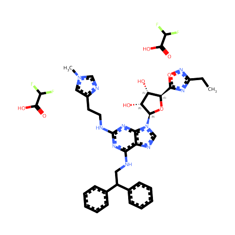 CCc1noc([C@H]2O[C@@H](n3cnc4c(NCC(c5ccccc5)c5ccccc5)nc(NCCc5cn(C)cn5)nc43)[C@H](O)[C@@H]2O)n1.O=C(O)C(F)F.O=C(O)C(F)F